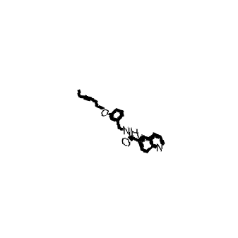 CCC#CCCCOc1cccc(CNC(=O)c2ccc3ncccc3c2)c1